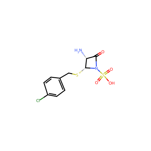 N[C@@H]1C(=O)N(S(=O)(=O)O)[C@@H]1SCc1ccc(Cl)cc1